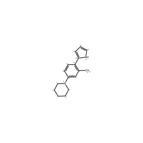 Cc1cc(N2CCCCC2)ccc1-c1ccc[nH]1